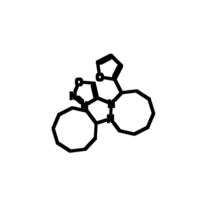 c1coc(C2CCCCCCN(C3CCCCCCCC3)N2c2conn2)c1